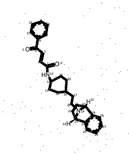 O=C(/C=C/C(=O)c1ccccc1)NC1CCC(CCN2[C@@H]3CC[C@H]2c2ccccc23)CC1